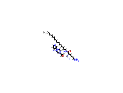 CCCCCCCCCCCCCCCCNC(=O)[C@@H](N)CCCCN.Nc1ccncc1N1CCN(C2COC2)CC1